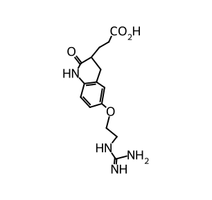 N=C(N)NCCOc1ccc2c(c1)CC(CCC(=O)O)C(=O)N2